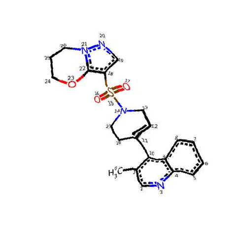 Cc1cnc2ccccc2c1C1=CCN(S(=O)(=O)c2cnn3c2OCCC3)CC1